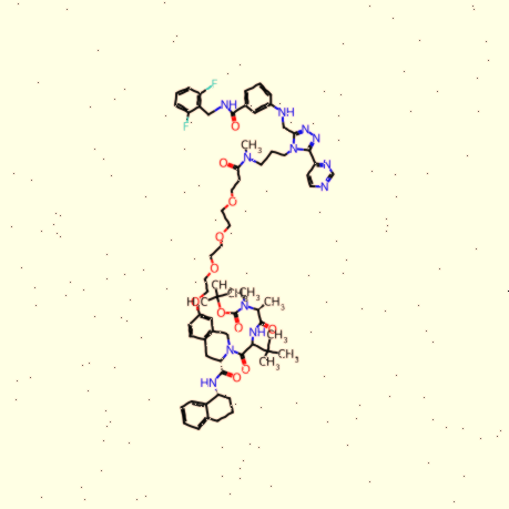 C[C@@H](C(=O)NC(C(=O)N1Cc2cc(OCCOCCOCCOCCC(=O)N(C)CCCn3c(CNc4cccc(C(=O)NCc5c(F)cccc5F)c4)nnc3-c3ccncn3)ccc2C[C@H]1C(=O)N[C@@H]1CCCc2ccccc21)C(C)(C)C)N(C)C(=O)OC(C)(C)C